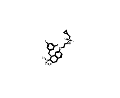 CCN(C(=O)O)C1CCc2ccc(OCCNS(=O)(=O)CC3CC3)cc2C1Cc1cc(F)cc(F)c1